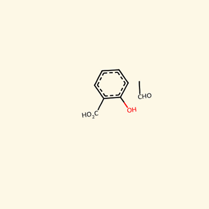 CC=O.O=C(O)c1ccccc1O